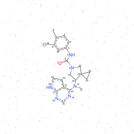 Cc1ccc(NC(=O)N2CC(N(C)c3ncnc4[nH]ccc34)C3(CC3)C2)cc1Cl